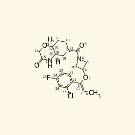 C/C=C(\OC1CN(C(=O)N2CC[C@@H]3OCC(=O)N[C@@H]3C2)C1)c1ccc(F)cc1Cl